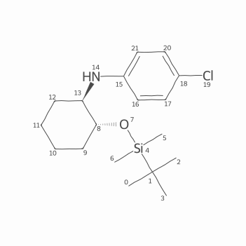 CC(C)(C)[Si](C)(C)O[C@@H]1CCCC[C@H]1Nc1ccc(Cl)cc1